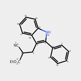 CCOC(=O)C(C#N)Cc1c(-c2ccccc2)[nH]c2ccccc12